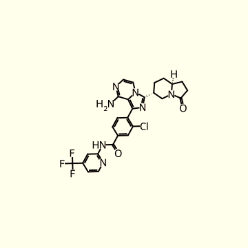 Nc1nccn2c([C@@H]3CC[C@H]4CCC(=O)N4C3)nc(-c3ccc(C(=O)Nc4cc(C(F)(F)F)ccn4)cc3Cl)c12